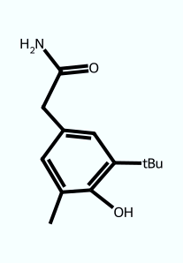 Cc1cc(CC(N)=O)cc(C(C)(C)C)c1O